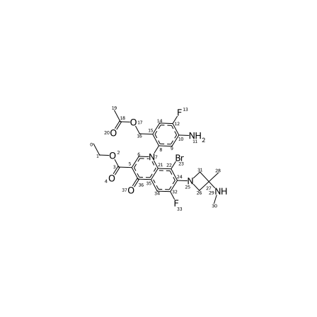 CCOC(=O)c1cn(-c2cc(N)c(F)cc2COC(C)=O)c2c(Br)c(N3CC(C)(NC)C3)c(F)cc2c1=O